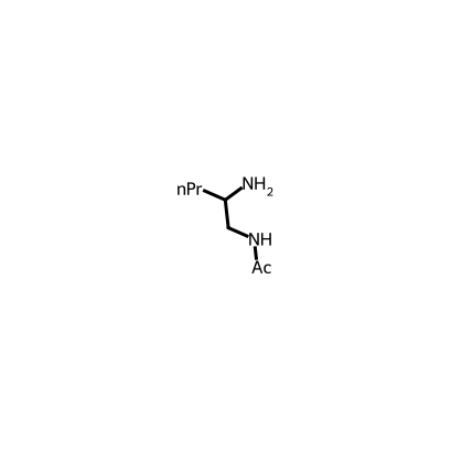 CCCC(N)CNC(C)=O